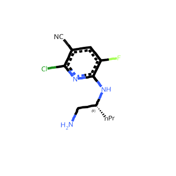 CCC[C@H](CN)Nc1nc(Cl)c(C#N)cc1F